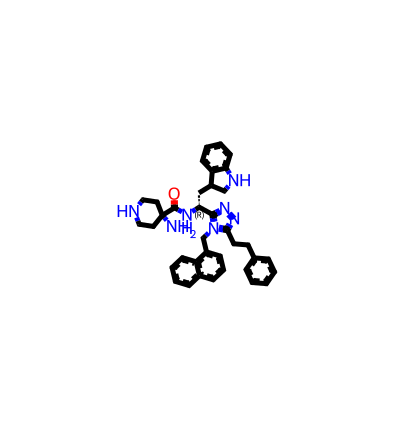 NC1(C(=O)N[C@H](CC2CNc3ccccc32)c2nnc(CCc3ccccc3)n2Cc2cccc3ccccc23)CCNCC1